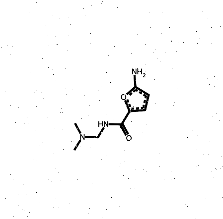 CN(C)CNC(=O)c1ccc(N)o1